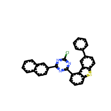 Clc1nc(-c2ccc3ccccc3c2)nc(-c2cccc3sc4ccc(-c5ccccc5)cc4c23)n1